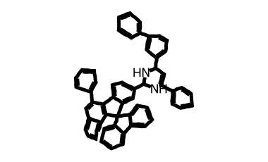 C1=C(c2ccccc2)NC(c2ccc3c(c2)C2(c4ccccc4-c4ccccc42)c2c-3c(-c3ccccc3)cc3ccccc23)NC1c1cccc(-c2ccccc2)c1